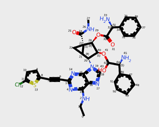 CCNc1nc(C#Cc2ccc(Cl)s2)nc2c1ncn2[C@@H]1C2C[C@@]2(C(=O)NC)[C@@H](OC(=O)[C@@H](N)c2ccccc2)[C@H]1OC(O)[C@@H](N)c1ccccc1